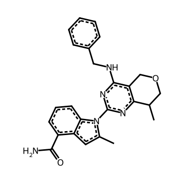 Cc1cc2c(C(N)=O)cccc2n1-c1nc(NCc2ccccc2)c2c(n1)C(C)COC2